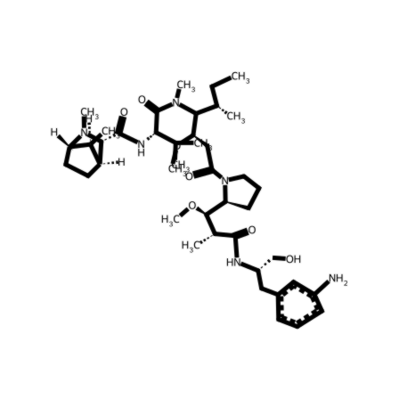 CC[C@H](C)C([C@@H](CC(=O)N1CCC[C@H]1[C@H](OC)[C@@H](C)C(=O)N[C@H](CO)Cc1cccc(N)c1)OC)N(C)C(=O)[C@@H](NC(=O)[C@@H]1[C@H]2CC[C@@H]([C@H]2C)N1C)C(C)C